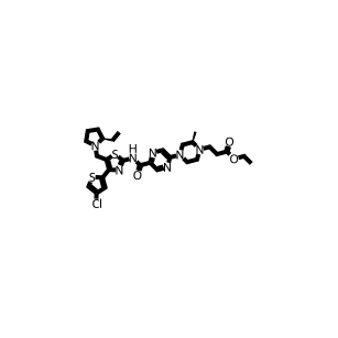 CCOC(=O)CCN1CCN(c2cnc(C(=O)Nc3nc(-c4cc(Cl)cs4)c(CN4CCC[C@H]4CC)s3)cn2)C[C@H]1C